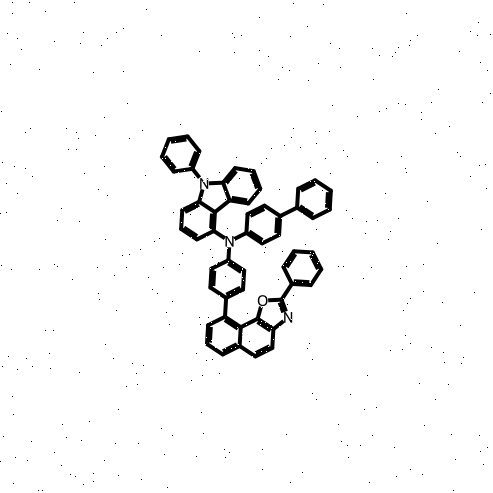 c1ccc(-c2ccc(N(c3ccc(-c4cccc5ccc6nc(-c7ccccc7)oc6c45)cc3)c3cccc4c3c3ccccc3n4-c3ccccc3)cc2)cc1